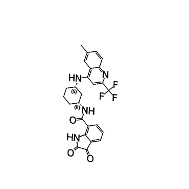 Cc1ccc2nc(C(F)(F)F)cc(N[C@H]3CCC[C@@H](NC(=O)c4cccc5c4NC(=O)C5=O)C3)c2c1